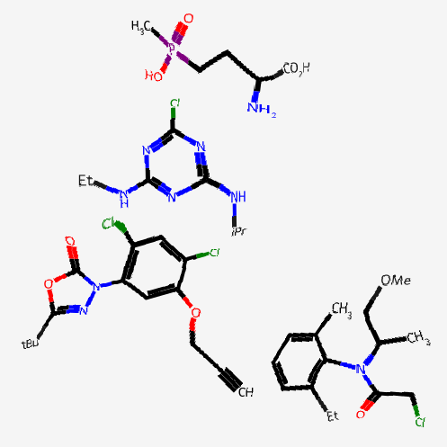 C#CCOc1cc(-n2nc(C(C)(C)C)oc2=O)c(Cl)cc1Cl.CCNc1nc(Cl)nc(NC(C)C)n1.CCc1cccc(C)c1N(C(=O)CCl)C(C)COC.CP(=O)(O)CCC(N)C(=O)O